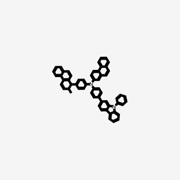 CC1C=Cc2c(ccc3ccccc23)C1c1ccc(N(c2ccc(-c3ccc4c5ccccc5n(-c5ccccc5)c4c3)cc2)c2ccc3c(ccc4ccccc43)c2)cc1